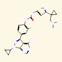 CN(C)CC1(c2cc(NC(=O)Nc3ccc(-c4nn(C5CC5)c5ncnc(N)c45)cc3F)on2)CC1